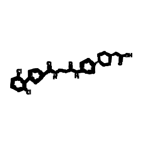 O=C(O)C[C@H]1CC[C@H](c2ccc(NC(=O)CCNC(=O)c3ccc(-c4c(Cl)cccc4Cl)cc3)cc2)CC1